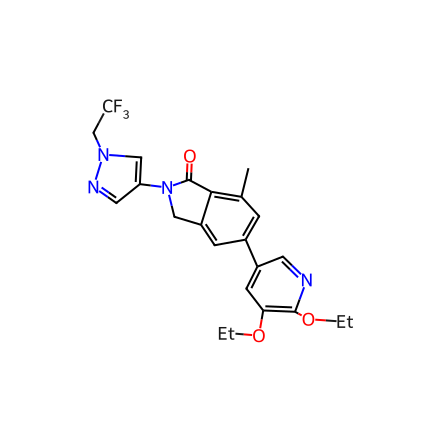 CCOc1cc(-c2cc(C)c3c(c2)CN(c2cnn(CC(F)(F)F)c2)C3=O)cnc1OCC